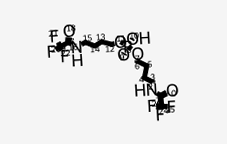 O=C(NCCCCOP(=O)(O)OCCCCNC(=O)C(F)(F)F)C(F)(F)F